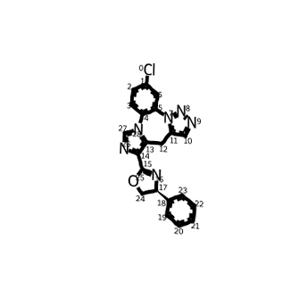 Clc1ccc2c(c1)-n1nncc1Cc1c(C3=N[C@@H](c4ccccc4)CO3)ncn1-2